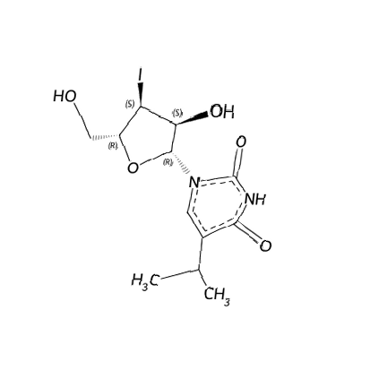 CC(C)c1cn([C@@H]2O[C@H](CO)[C@@H](I)[C@H]2O)c(=O)[nH]c1=O